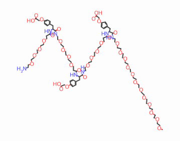 COCCOCCOCCOCCOCCOCCOCCOCCOCCOCCOCCOCCNC(=O)C(Cc1ccc(OCC(=O)O)cc1)NC(=O)CCOCCOCCOCCOCCNC(=O)C(Cc1ccc(OCC(=O)O)cc1)NC(=O)CCOCCOCCOCCOCCNC(=O)C(Cc1ccc(OCC(=O)O)cc1)NC(=O)CCOCCOCCOCCOCCN